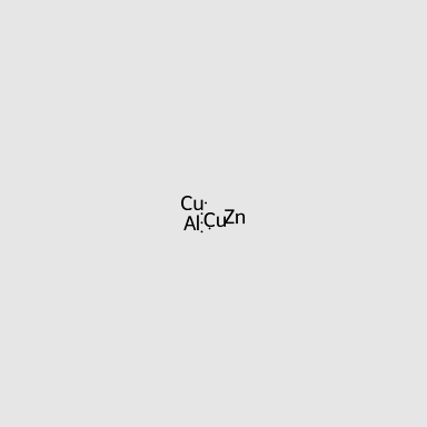 [Al].[Cu].[Cu].[Zn]